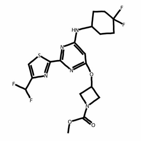 COC(=O)N1CC(Oc2cc(NC3CCC(F)(F)CC3)nc(-c3nc(C(F)F)cs3)n2)C1